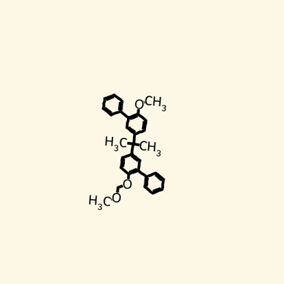 COCOc1ccc(C(C)(C)c2ccc(OC)c(-c3ccccc3)c2)cc1-c1ccccc1